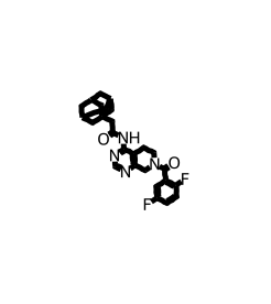 O=C(CC12CC3CC(CC(C3)C1)C2)Nc1ncnc2c1CCN(C(=O)c1cc(F)ccc1F)C2